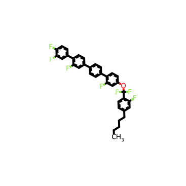 CCCCCc1ccc(C(F)(F)Oc2ccc(-c3ccc(-c4ccc(-c5ccc(F)c(F)c5)c(F)c4)cc3)c(F)c2)c(F)c1